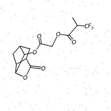 CC(C(=O)OCC(=O)OC1C2CC3C(=O)OC1C3C2)C(F)(F)F